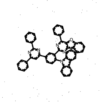 c1ccc(-c2cc(-c3ccc(-n4c5ccccc5c5ccccc54)c(-c4nc(-c5ccccc5)c5oc6ccccc6c5n4)c3)nc(-c3ccccc3)n2)cc1